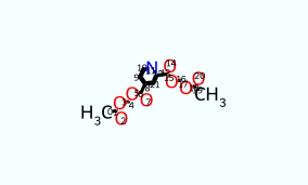 CC(=O)OCOC(=O)c1ccnc(C(=O)OCOC(C)=O)c1